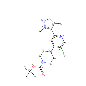 Cc1cnn(C)c1-c1cc(N2CCN(C(=O)OC(C)(C)C)CC2)c(F)cn1